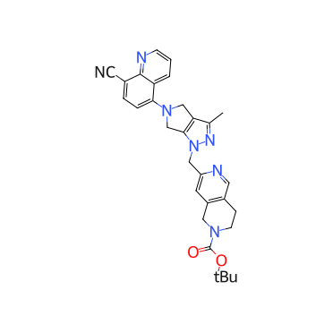 Cc1nn(Cc2cc3c(cn2)CCN(C(=O)OC(C)(C)C)C3)c2c1CN(c1ccc(C#N)c3ncccc13)C2